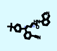 CC(C)(C)c1ccc(/C(=C/C=C/C(=O)Nc2cccc3cnccc23)c2cccc(C#N)c2)cc1